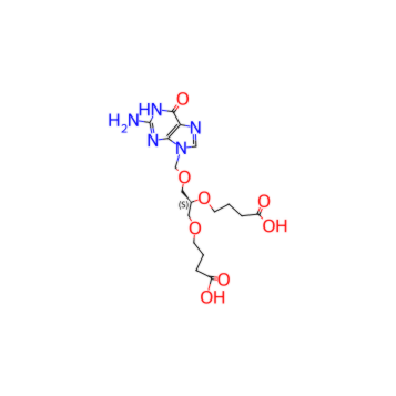 Nc1nc2c(ncn2COC[C@H](COCCCC(=O)O)OCCCC(=O)O)c(=O)[nH]1